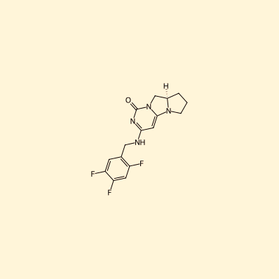 O=c1nc(NCc2cc(F)c(F)cc2F)cc2n1C[C@H]1CCCN21